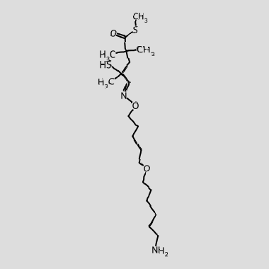 CSC(=O)C(C)(C)CC(C)(S)/C=N/OCCCCCOCCCCCCN